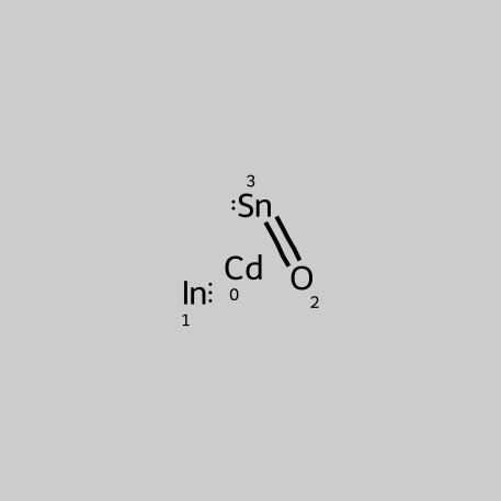 [Cd].[In].[O]=[Sn]